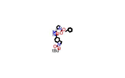 CC(C)(C)OC(=O)N1C=CC2CC(c3nnc([C@@H]4CCCN4C(=O)OCc4ccccc4)o3)=CC=C21